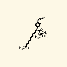 CC(=O)CCCCCCCCCN(C(=O)OC(C)(C)C)C1CCC(N=[N+]=[N-])CC1